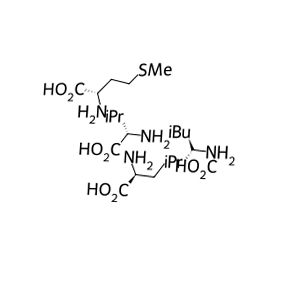 CC(C)C[C@H](N)C(=O)O.CC(C)[C@H](N)C(=O)O.CC[C@H](C)[C@H](N)C(=O)O.CSCC[C@H](N)C(=O)O